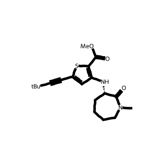 COC(=O)c1sc(C#CC(C)(C)C)cc1N[C@H]1CCCCN(C)C1=O